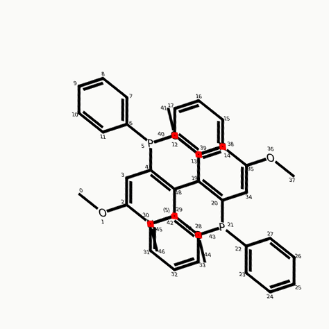 COC1=CC(P(c2ccccc2)c2ccccc2)=C(c2c(P(c3ccccc3)c3ccccc3)cc(OC)nc2OC)[C@H](OC)N1C